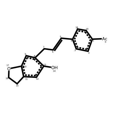 CC(=O)c1ccc(/C=C/Cc2cc3c(cc2O)CCO3)cc1